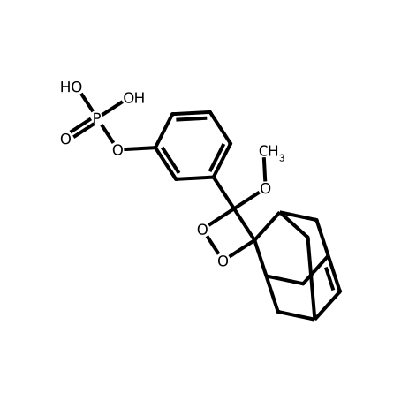 COC1(c2cccc(OP(=O)(O)O)c2)OOC12C1CC3=CC(C1)CC2C3